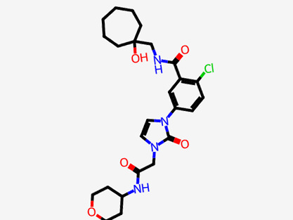 O=C(Cn1ccn(-c2ccc(Cl)c(C(=O)NCC3(O)CCCCCC3)c2)c1=O)NC1CCOCC1